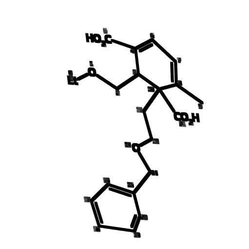 CCOCC1C(C(=O)O)=CC=C(C)C1(CCOCc1ccccc1)C(=O)O